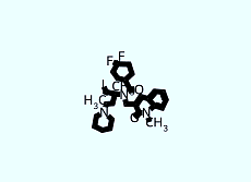 CC(I)C(C)(CCN1CCCCC1)N(Cc1cc2ccccc2n(C)c1=O)C(=O)C1CCC(F)(F)CC1